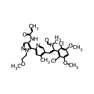 C=CC(=O)Nc1cnn(CCOC)c1-c1cc(C)c(/C=C(/c2c(Cl)c(OC)cc(OC)c2Cl)N(C)C=O)cn1